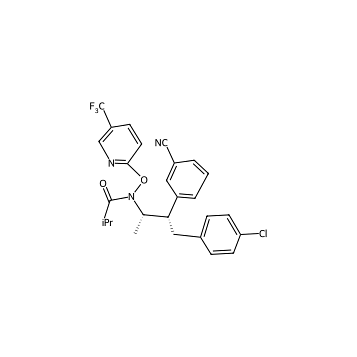 CC(C)C(=O)N(Oc1ccc(C(F)(F)F)cn1)[C@@H](C)[C@@H](Cc1ccc(Cl)cc1)c1cccc(C#N)c1